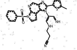 Cc1ccc(-c2nc3cnc4c(ccn4S(=O)(=O)c4ccccc4)c3n2/C(C=N)=C/NCCC#N)s1